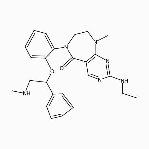 CCNc1ncc2c(n1)N(C)CCN(c1ccccc1OC(CNC)c1ccccc1)C2=O